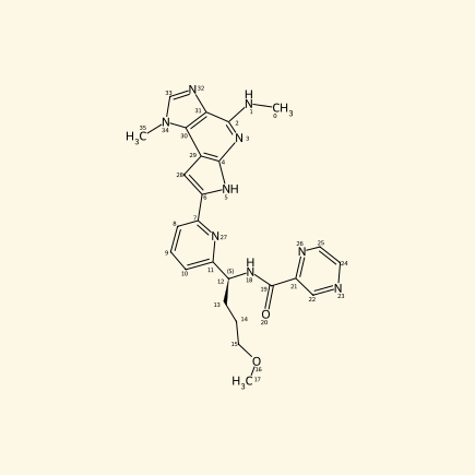 CNc1nc2[nH]c(-c3cccc([C@H](CCCOC)NC(=O)c4cnccn4)n3)cc2c2c1ncn2C